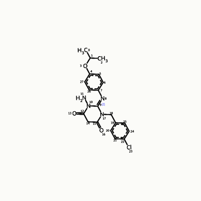 CC(C)Oc1ccc(/N=C2\N(N)C(=O)CC(=O)N2Cc2ccc(Cl)cc2)cc1